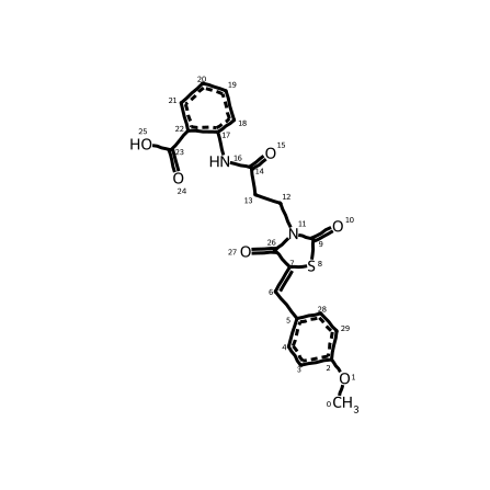 COc1ccc(/C=C2\SC(=O)N(CCC(=O)Nc3ccccc3C(=O)O)C2=O)cc1